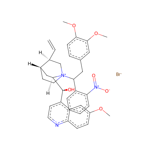 C=C[C@H]1C[N+]2(C(Cc3ccc(OC)c(OC)c3)c3ccccc3[N+](=O)[O-])CC[C@H]1C[C@@H]2[C@@H](O)c1ccnc2ccc(OC)cc12.[Br-]